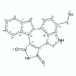 O=C1NC(=O)C(c2c[nH]c3c(CO)cccc23)=C1c1coc2ccccc12